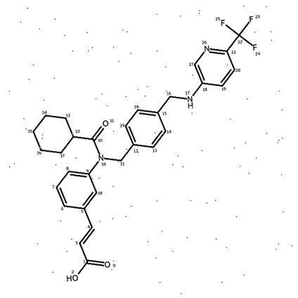 O=C(O)C=Cc1cccc(N(Cc2ccc(CNc3ccc(C(F)(F)F)nc3)cc2)C(=O)C2CCCCC2)c1